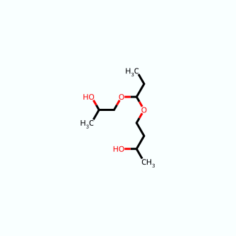 CCC(OCCC(C)O)OCC(C)O